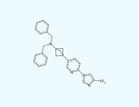 FC(F)(F)c1cn(-c2ccc(C34CC(N(Cc5ccccc5)Cc5ccccc5)(C3)C4)cn2)cn1